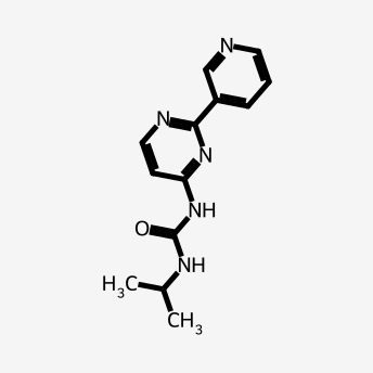 CC(C)NC(=O)Nc1ccnc(-c2cccnc2)n1